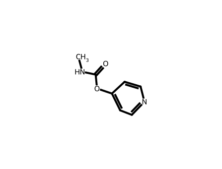 CNC(=O)Oc1ccncc1